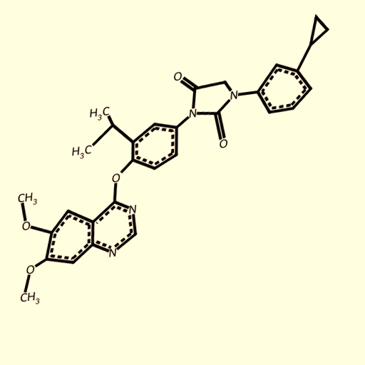 COc1cc2ncnc(Oc3ccc(N4C(=O)CN(c5cccc(C6CC6)c5)C4=O)cc3C(C)C)c2cc1OC